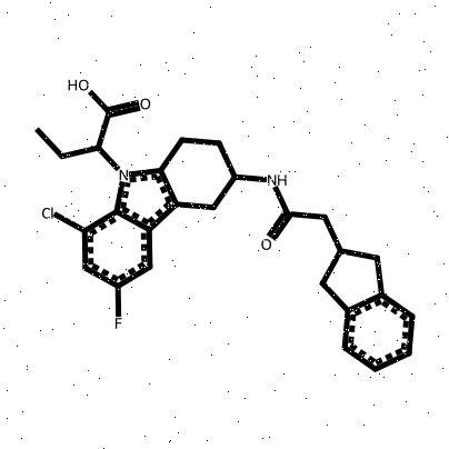 CCC(C(=O)O)n1c2c(c3cc(F)cc(Cl)c31)CC(NC(=O)CC1Cc3ccccc3C1)CC2